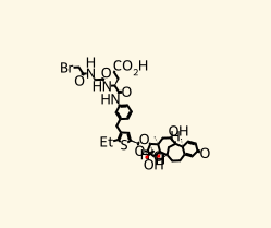 CCc1sc([C@@H]2O[C@@H]3C[C@H]4[C@@H]5CCC6=CC(=O)C=C[C@]6(C)[C@H](C5)[C@@H](O)C[C@]4(C)[C@]3(C(=O)CO)O2)cc1Cc1cccc(NC(=O)[C@H](CCC(=O)O)NC(=O)CNC(=O)CBr)c1